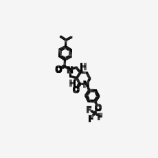 CC(C)c1ccc(C(=O)N2C[C@@H]3CCN(c4ccc(OC(F)(F)F)cc4)C(=O)[C@@H]3C2)cc1